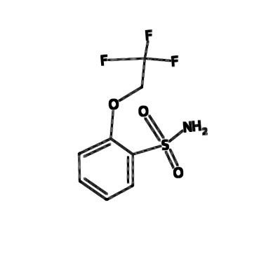 NS(=O)(=O)c1ccccc1OCC(F)(F)F